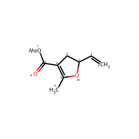 C=CC1CC(C(=O)OC)=C(C)O1